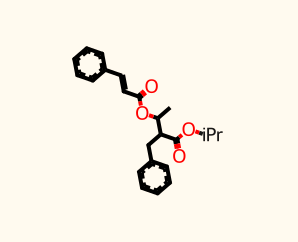 CC(C)OC(=O)C(Cc1ccccc1)C(C)OC(=O)/C=C/c1ccccc1